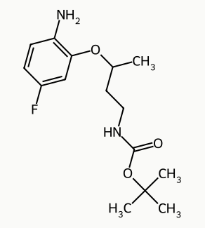 CC(CCNC(=O)OC(C)(C)C)Oc1cc(F)ccc1N